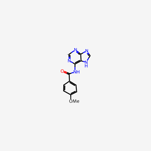 COc1ccc(C(=O)Nc2n[c]nc3nc[nH]c23)cc1